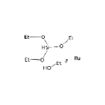 CCO.CCO[SiH](OCC)OCC.[F].[Ru]